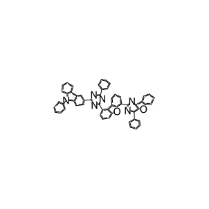 c1ccc(-c2nc(-c3ccc4c(c3)c3ccccc3n4-c3ccccc3)nc(-c3cccc4oc5c(-c6nc(-c7ccccc7)c7oc8ccccc8c7n6)cccc5c34)n2)cc1